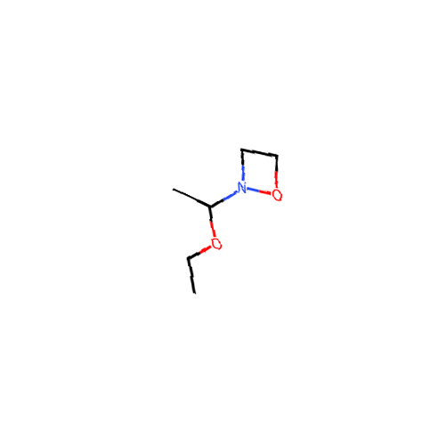 CCOC(C)N1CCO1